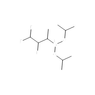 CC(C)O[SiH](OC(C)C)C(C)C(F)C(F)F